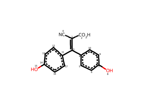 N#CC(C(=O)O)=C(c1ccc(O)cc1)c1ccc(O)cc1